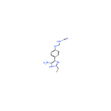 CCc1nc(-c2ccc(N=CNC#N)cc2)c(N)[nH]1